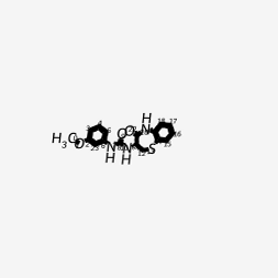 COc1cccc(NC(=O)N[C@@H]2CSc3ccccc3NC2=O)c1